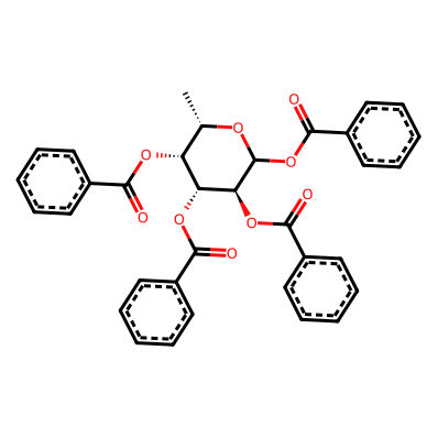 C[C@@H]1OC(OC(=O)c2ccccc2)[C@@H](OC(=O)c2ccccc2)[C@H](OC(=O)c2ccccc2)[C@@H]1OC(=O)c1ccccc1